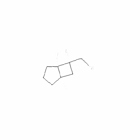 CC[C@]1(CN)C[C@H]2CCC[C@H]21